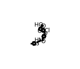 Cc1ccc(SCCNC(=O)c2ccc(Oc3cc4c(cc3Cl)C(C(=O)O)CCO4)cc2)cc1